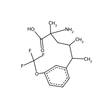 CC(CC(C)(N)C(=O)O)C(C)c1cccc(OC(F)(F)F)c1